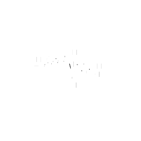 CC(/C=C/C(OOC(C)(C)C)C(C)C)OOC(C)(C)C